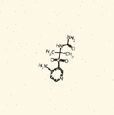 CC(C)(NC(N)=O)S(=O)(=O)c1cnccc1N